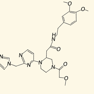 COCC(=O)N1CCN(c2ccnc(Cn3ccnc3)n2)C(CC(=O)NCCc2ccc(OC)c(OC)c2)C1